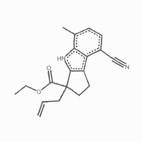 C=CCC1(C(=O)OCC)CCc2c1[nH]c1c(C)ccc(C#N)c21